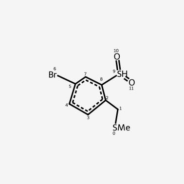 CSCc1ccc(Br)cc1[SH](=O)=O